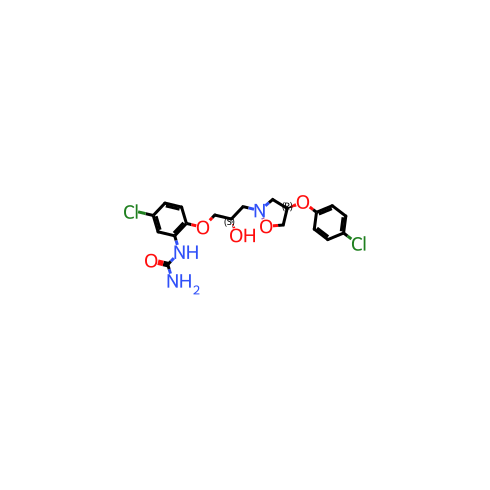 NC(=O)Nc1cc(Cl)ccc1OC[C@@H](O)CN1C[C@@H](Oc2ccc(Cl)cc2)CO1